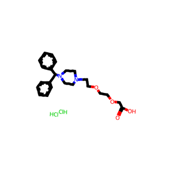 Cl.Cl.O=C(O)COCCOCCN1CCN(C(c2ccccc2)c2ccccc2)CC1